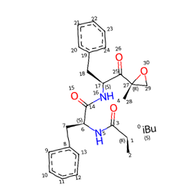 CC[C@H](C)[C@@H](C)C(=O)N[C@@H](Cc1ccccc1)C(=O)N[C@@H](Cc1ccccc1)C(=O)[C@@]1(C)CO1